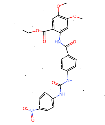 CCOC(=O)c1cc(OC)c(OC)cc1NC(=O)c1ccc(NC(=O)Nc2ccc([N+](=O)[O-])cc2)cc1